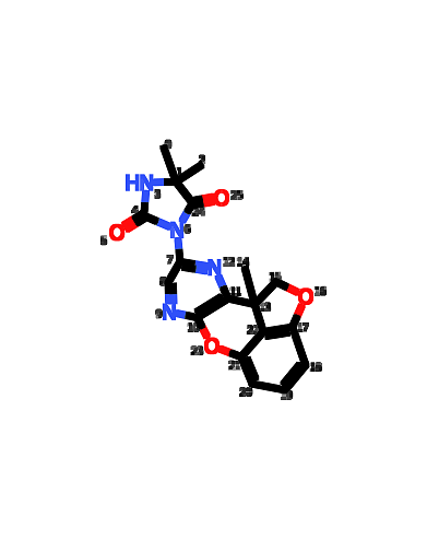 CC1(C)NC(=O)N(c2cnc3c(n2)C2(C)COc4cccc(c42)O3)C1=O